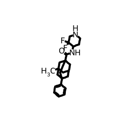 CC12CC3CC(C(=O)NC4CCNCC4(F)F)(C1)CC(c1ccccc1)(C3)C2